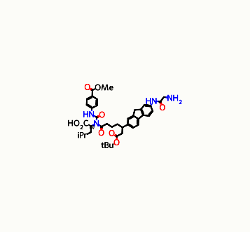 COC(=O)c1ccc(NC(=O)N(C(=O)CCCC(CC(=O)OC(C)(C)C)c2ccc3c(c2)Cc2cc(NC(=O)CN)ccc2-3)[C@@H](CC(C)C)C(=O)O)cc1